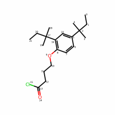 CCC(C)(C)c1ccc(OCCCC(=O)Cl)c(C(C)(C)CC)c1